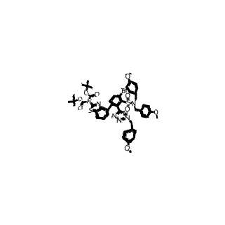 COc1ccc(CN(Cc2ccc(OC)cc2)S(=O)(=O)c2c(Br)ccc(-c3cccc4sc(N(C(=O)OC(C)(C)C)C(=O)OC(C)(C)C)nc34)c2-c2nnn(Cc3ccc(OC)cc3)n2)cc1